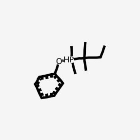 CCC(C)(C)[PH](C)(C)Oc1ccccc1